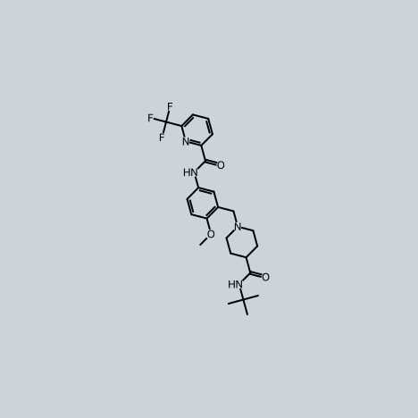 COc1ccc(NC(=O)c2cccc(C(F)(F)F)n2)cc1CN1CCC(C(=O)NC(C)(C)C)CC1